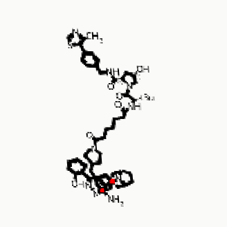 Cc1ncsc1-c1ccc(CNC(=O)[C@@H]2C[C@H](O)CN2C(=O)[C@@H](NC(=O)CCCCCC(=O)N2CCC(Cc3cccc(N4C5CCC4CN(c4cc(-c6ccccc6O)nnc4N)C5)c3)CC2)C(C)(C)C)cc1